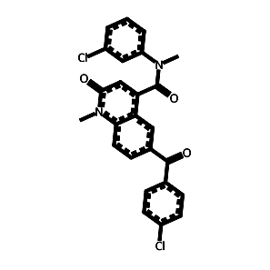 CN(C(=O)c1cc(=O)n(C)c2ccc(C(=O)c3ccc(Cl)cc3)cc12)c1cccc(Cl)c1